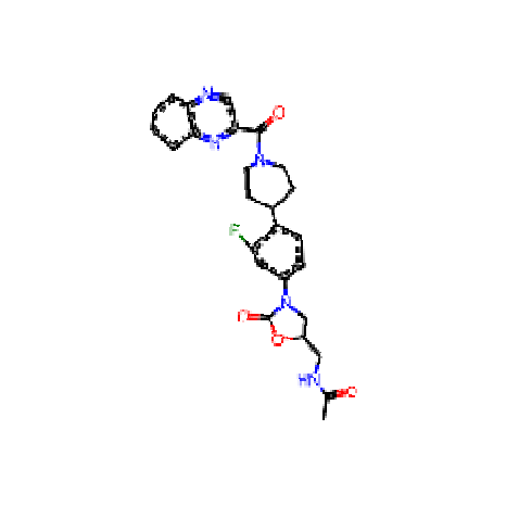 CC(=O)NCC1CN(c2ccc(C3CCN(C(=O)c4cnc5ccccc5n4)CC3)c(F)c2)C(=O)O1